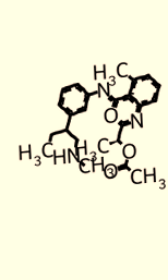 CCC(CNC)c1cccc(/N=c2\oc([C@H](C)OC(C)=O)nc3cccc(C)c23)c1